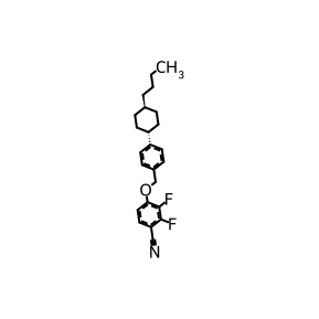 CCCC[C@H]1CC[C@H](c2ccc(COc3ccc(C#N)c(F)c3F)cc2)CC1